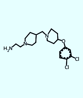 NCCN1CCC(CN2CCC(Oc3ccc(Cl)c(Cl)c3)CC2)CC1